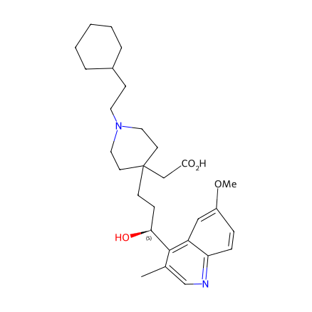 COc1ccc2ncc(C)c([C@@H](O)CCC3(CC(=O)O)CCN(CCC4CCCCC4)CC3)c2c1